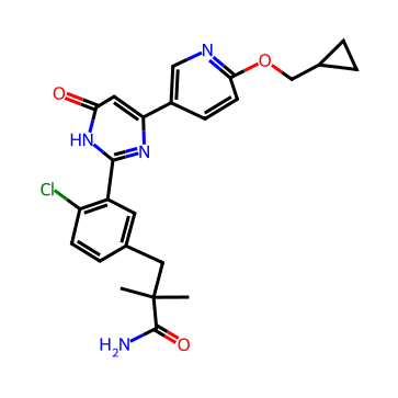 CC(C)(Cc1ccc(Cl)c(-c2nc(-c3ccc(OCC4CC4)nc3)cc(=O)[nH]2)c1)C(N)=O